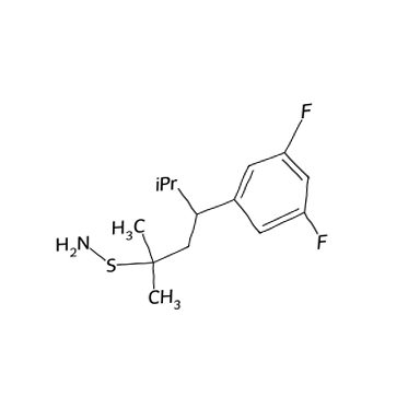 CC(C)C(CC(C)(C)SN)c1cc(F)cc(F)c1